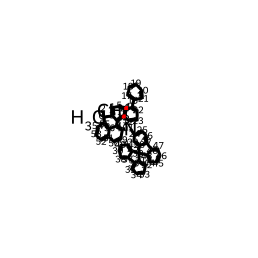 CC1(C)c2ccccc2-c2c(N(c3ccc(-c4ccccc4)cc3)c3ccc4c(c3)C3(c5ccccc5-c5ccccc53)c3ccccc3-4)ccc3cccc1c23